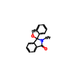 CCCOC1(c2ccccc2)c2ccccc2C(=O)N1CCC